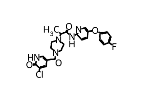 CC(C(=O)Nc1ccc(Oc2ccc(F)cc2)cn1)N1CCN(C(=O)c2c[nH]c(=O)c(Cl)c2)CC1